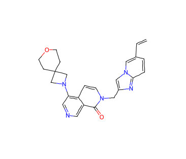 C=Cc1ccc2nc(Cn3ccc4c(N5CC6(CCOCC6)C5)cncc4c3=O)cn2c1